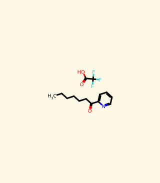 CCCCCCC(=O)c1ccccn1.O=C(O)C(F)(F)F